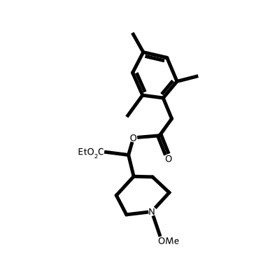 CCOC(=O)C(OC(=O)Cc1c(C)cc(C)cc1C)C1CCN(OC)CC1